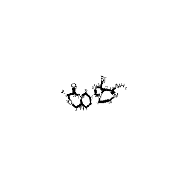 C[C@H]1OC[C@@H]2CC[C@@H](c3nc(Br)c4c(N)nccn34)CN2C1=O